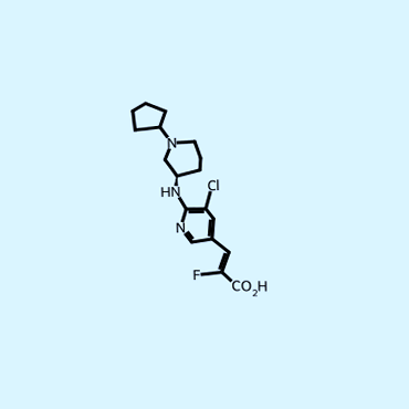 O=C(O)C(F)=Cc1cnc(N[C@@H]2CCCN(C3CCCC3)C2)c(Cl)c1